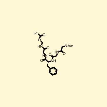 CNCC(=O)NCC(=O)N[C@@H](Cc1ccccc1)C(=O)NCC(=O)NCOC(=O)C(C)C